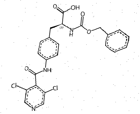 O=C(N[C@@H](Cc1ccc(NC(=O)c2c(Cl)cncc2Cl)cc1)C(=O)O)OCc1ccccc1